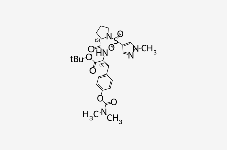 CN(C)C(=O)Oc1ccc(C[C@H](NC(=O)[C@@H]2CCCN2S(=O)(=O)c2cnn(C)c2)C(=O)OC(C)(C)C)cc1